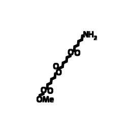 COCCOC(=O)CCCCCOC(=O)CCCCCOC(=O)CCCCCN